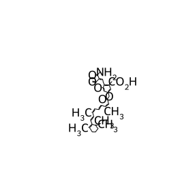 CC(C=CC1=C(C)CCCC1(C)C)=CC=CC(C)=CC(=O)Oc1cc(C(=O)O)c2cc(C(N)=O)c(=O)oc2c1